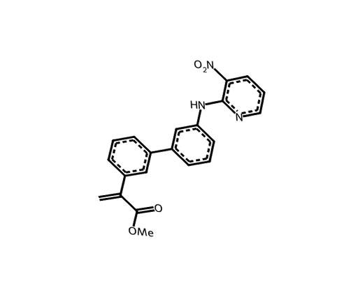 C=C(C(=O)OC)c1cccc(-c2cccc(Nc3ncccc3[N+](=O)[O-])c2)c1